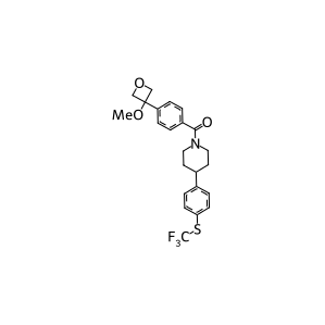 COC1(c2ccc(C(=O)N3CCC(c4ccc(SC(F)(F)F)cc4)CC3)cc2)COC1